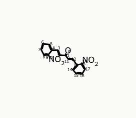 O=C(C=Cc1ccccc1[N+](=O)[O-])C=Cc1ccccc1[N+](=O)[O-]